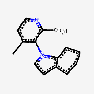 Cc1ccnc(C(=O)O)c1-n1ccc2ccccc21